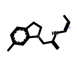 C=C(CN1CCc2ccc(C)cc21)N/C=C\C